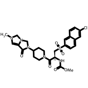 COC(=O)N[C@H](CS(=O)(=O)c1ccc2cc(Cl)ccc2c1)C(=O)N1CCC(N2CN3CN(C)C=C3C2=O)CC1